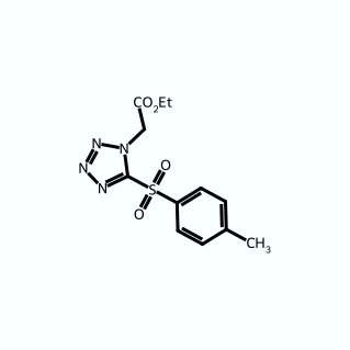 CCOC(=O)Cn1nnnc1S(=O)(=O)c1ccc(C)cc1